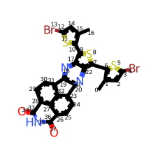 Cc1cc(Br)sc1-c1sc(-c2sc(Br)cc2C)c2nc3c(nc12)-c1ccc2c4c(ccc-3c14)C(=O)NC2=O